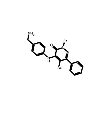 CCn1nc(-c2ccccc2)c(C(C)=O)c(Nc2ccc(CN)cc2)c1=O